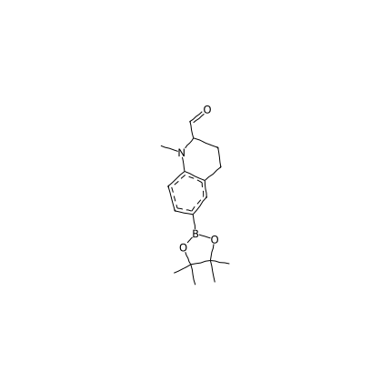 CN1c2ccc(B3OC(C)(C)C(C)(C)O3)cc2CCC1C=O